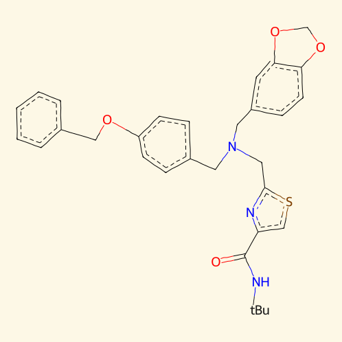 CC(C)(C)NC(=O)c1csc(CN(Cc2ccc(OCc3ccccc3)cc2)Cc2ccc3c(c2)OCO3)n1